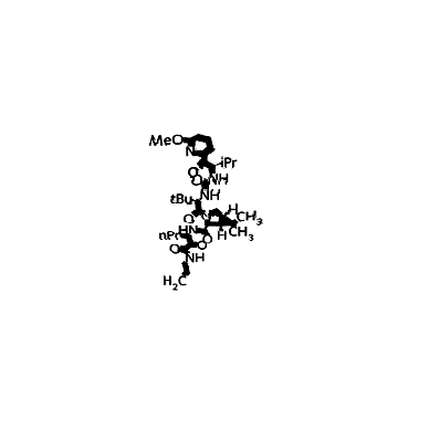 C=CCNC(=O)C(=O)C(CCC)NC(=O)[C@@H]1[C@@H]2[C@H](CN1C(=O)[C@@H](NC(=O)N[C@H](C(=O)c1cccc(OC)n1)C(C)C)C(C)(C)C)C2(C)C